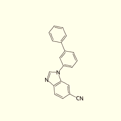 N#Cc1ccc2ncn(-c3cccc(-c4ccccc4)c3)c2c1